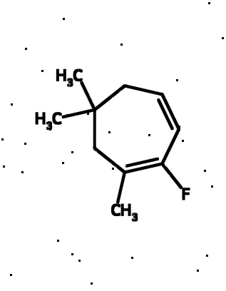 CC1=C(F)C=CCC(C)(C)C1